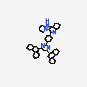 C1=CC2Nc3c(c(-c4ccc(-c5nc(-c6cc7ccccc7c7ccccc67)cc(-c6cc7ccccc7c7ccccc67)n5)cc4)nc4ccccc34)N2C=C1